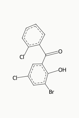 O=C(c1ccccc1Cl)c1cc(Cl)cc(Br)c1O